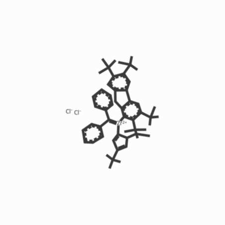 CCC1C=C(C(C)(C)C)C=[C]1[Zr+2](=[C](c1ccccc1)c1ccccc1)[c]1c2c(cc(C(C)(C)C)c1C(C)(C)C)-c1cc(C(C)(C)C)c(C(C)(C)C)cc1C2.[Cl-].[Cl-]